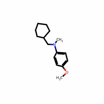 COc1ccc(N(C)CC2CCCCC2)cc1